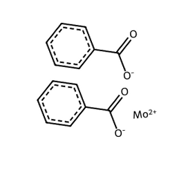 O=C([O-])c1ccccc1.O=C([O-])c1ccccc1.[Mo+2]